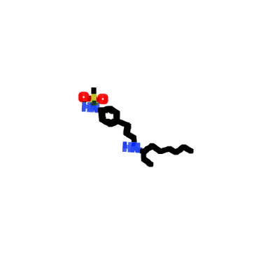 CCCCCCC(CC)NCC=Cc1ccc(NS(C)(=O)=O)cc1